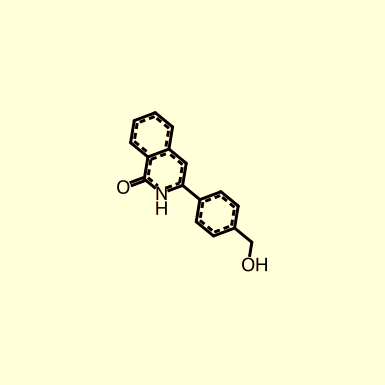 O=c1[nH]c(-c2ccc(CO)cc2)cc2ccccc12